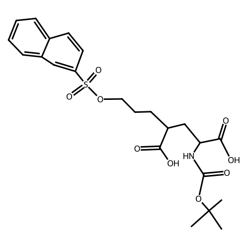 CC(C)(C)OC(=O)NC(CC(CCCOS(=O)(=O)c1ccc2ccccc2c1)C(=O)O)C(=O)O